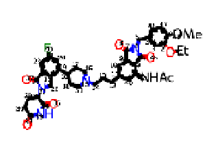 CCOc1cc(CN2C(=O)c3cc(CCCN4CCC(c5cc(F)cc6c5CN(C5CCC(=O)NC5=O)C6=O)CC4)cc(NC(C)=O)c3C2=O)ccc1OC